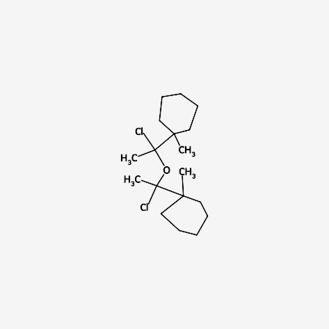 CC1(C(C)(Cl)OC(C)(Cl)C2(C)CCCCC2)CCCCC1